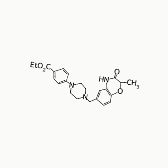 CCOC(=O)c1ccc(N2CCN(Cc3ccc4c(c3)NC(=O)C(C)O4)CC2)cc1